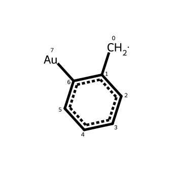 [CH2]c1cccc[c]1[Au]